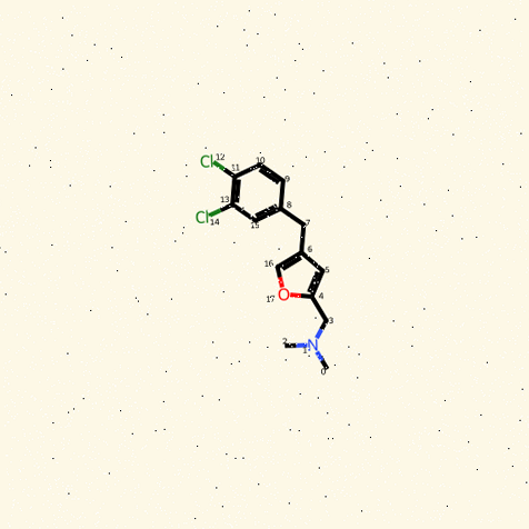 CN(C)Cc1cc(Cc2ccc(Cl)c(Cl)c2)co1